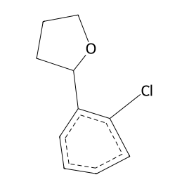 Clc1ccccc1C1CCCO1